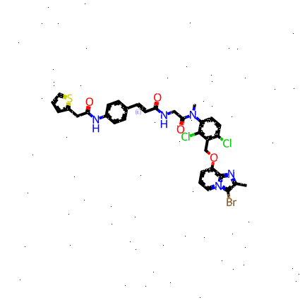 Cc1nc2c(OCc3c(Cl)ccc(N(C)C(=O)CNC(=O)/C=C/c4ccc(NC(=O)Cc5cccs5)cc4)c3Cl)cccn2c1Br